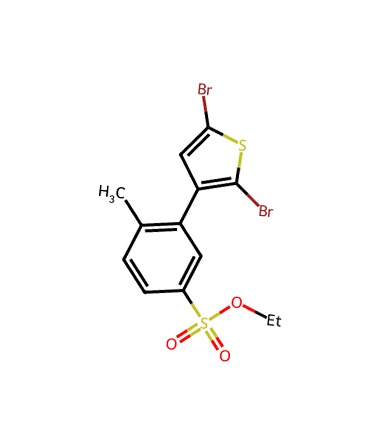 CCOS(=O)(=O)c1ccc(C)c(-c2cc(Br)sc2Br)c1